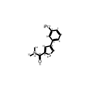 CC(C)c1cccc(-c2csc(C(=O)N(C)C)c2)c1